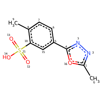 Cc1nnc(-c2ccc(C)c(S(=O)(=O)O)c2)o1